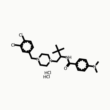 CN(C)c1ccc(C(=O)NC(CN2CCN(Cc3ccc(Cl)c(Cl)c3)CC2)C(C)(C)C)cc1.Cl.Cl